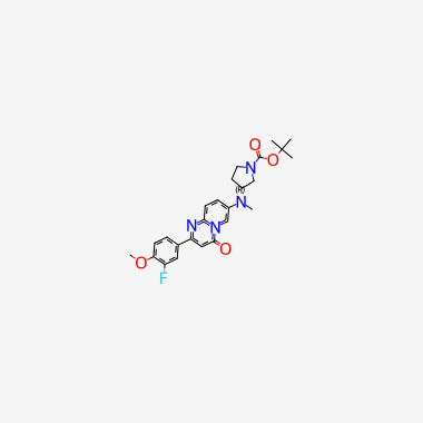 COc1ccc(-c2cc(=O)n3cc(N(C)[C@@H]4CCN(C(=O)OC(C)(C)C)C4)ccc3n2)cc1F